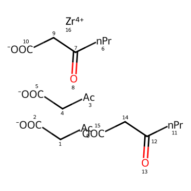 CC(=O)CC(=O)[O-].CC(=O)CC(=O)[O-].CCCC(=O)CC(=O)[O-].CCCC(=O)CC(=O)[O-].[Zr+4]